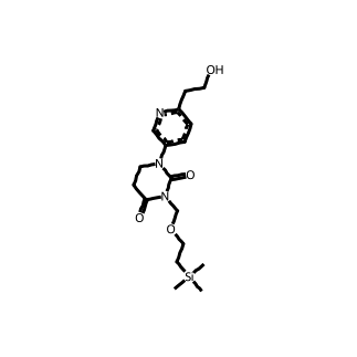 C[Si](C)(C)CCOCN1C(=O)CCN(c2ccc(CCO)nc2)C1=O